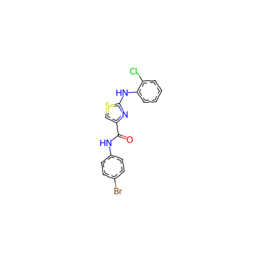 O=C(Nc1ccc(Br)cc1)c1csc(Nc2ccccc2Cl)n1